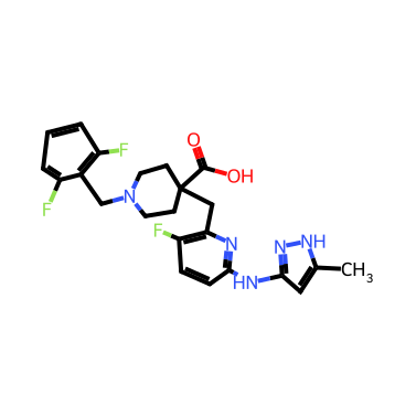 Cc1cc(Nc2ccc(F)c(CC3(C(=O)O)CCN(Cc4c(F)cccc4F)CC3)n2)n[nH]1